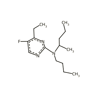 CCCCN(c1ncc(F)c(CC)n1)C(C)CCC